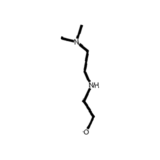 CN(C)CCNCC[O]